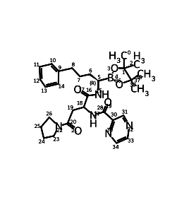 CC1(C)OB([C@H](CCCc2ccccc2)NC(=O)C(CC(=O)N2CCCC2)NC(=O)c2cnccn2)OC1(C)C